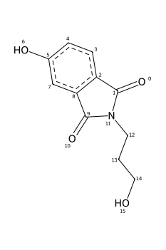 O=C1c2ccc(O)cc2C(=O)N1CCCO